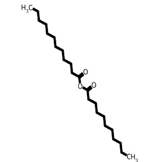 CCCCCCCCCCCC(=O)OC(=O)CCCCCCCCCC